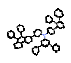 c1ccc(-c2cc(-c3ccccc3)cc(N(c3ccc(-c4cccc(-c5ccccc5)c4-c4ccccc4)cc3)c3cccc(-c4ccc5c(c4)c(-c4ccccc4)c(-c4ccccc4)c4ccccc45)c3)c2)cc1